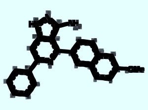 COc1ccc2cc(-c3nc(-c4ccccc4)cc4[nH]nc(N)c34)ccc2c1